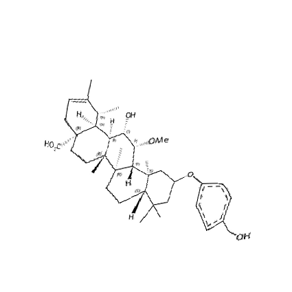 CO[C@H]1[C@@H](O)[C@@H]2[C@@H]3[C@@H](C)C(C)=CC[C@]3(C(=O)O)CC[C@@]2(C)[C@]2(C)CC[C@H]3C(C)(C)CC(Oc4ccc(O)cc4)C[C@]3(C)[C@@H]12